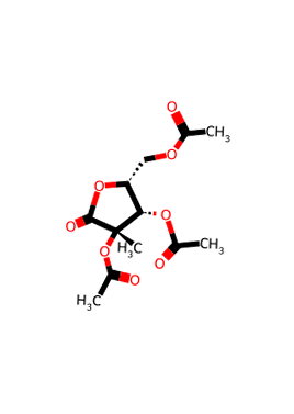 CC(=O)OC[C@H]1OC(=O)[C@@](C)(OC(C)=O)[C@H]1OC(C)=O